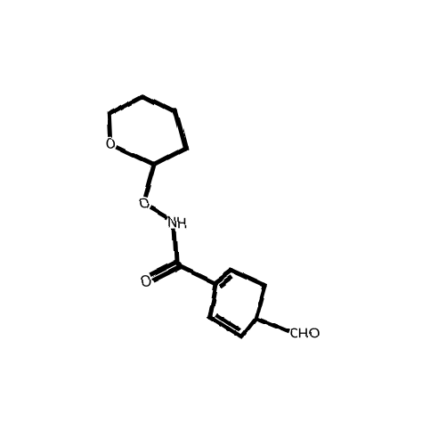 O=CC1C=CC(C(=O)NOC2CCCCO2)=CC1